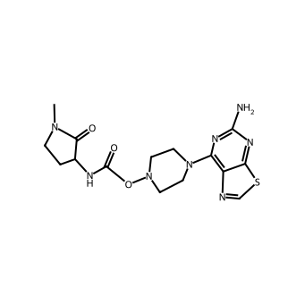 CN1CCC(NC(=O)ON2CCN(c3nc(N)nc4scnc34)CC2)C1=O